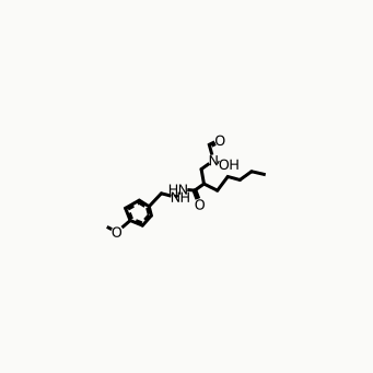 CCCCCC(CN(O)C=O)C(=O)NNCc1ccc(OC)cc1